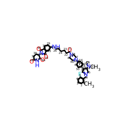 Cc1cccc(F)c1CN1C[C@H](c2ccc(N3CCN(C(=O)CCCCCNc4ccc5c(c4)C(=O)N(C4CCC(=O)NC4=O)C5=O)CC3)cc2)[C@@H](N(C)C)C1